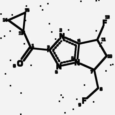 O=C(c1nc2n(n1)C(CF)CC2F)C1CC1